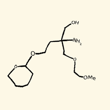 COCOCC(N)(CO)CCOC1CCCCO1